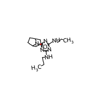 CCCNc1nc(NCCC)nc(N2C3CCC2CC(=O)C3)n1